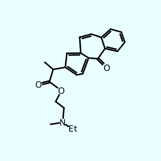 CCN(C)CCOC(=O)C(C)c1ccc2c(=O)c3ccccc3ccc2c1